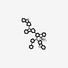 CC1(C)c2ccccc2-c2cc(-c3ccc4c(c3)c3ccccc3n4-c3ccc4sc5ccccc5c4c3)cc(N(c3cccc(-c4ccccc4)c3)c3ccc4c(c3)oc3ccccc34)c21